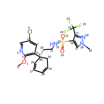 COc1ncc(Cl)cc1[C@]1(CCNS(=O)(=O)c2cn(C)nc2C(F)(F)F)C=CC=CC1